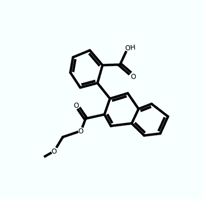 COCOC(=O)c1cc2ccccc2cc1-c1ccccc1C(=O)O